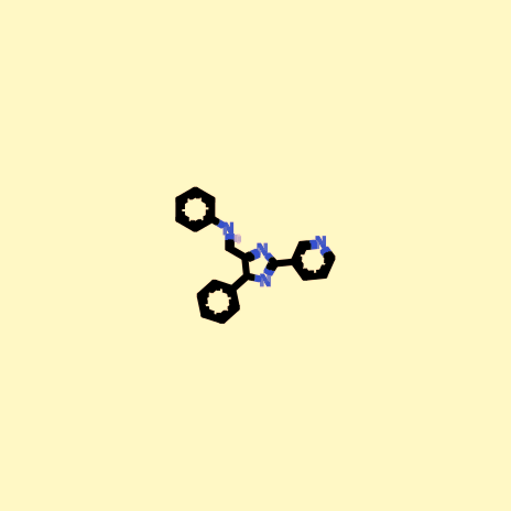 C(=N\c1ccccc1)/C1=NC(c2cccnc2)=NC1c1ccccc1